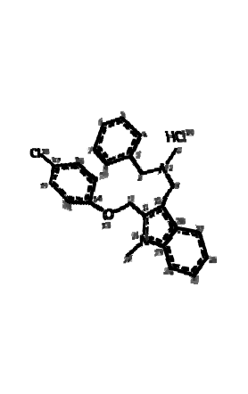 CN(Cc1ccccc1)Cc1c(COc2ccc(Cl)cc2)n(C)c2ccccc12.Cl